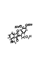 COc1ccc(C(CC(=O)O)N2C(=O)c3cccc(N)c3C2=O)cc1OC